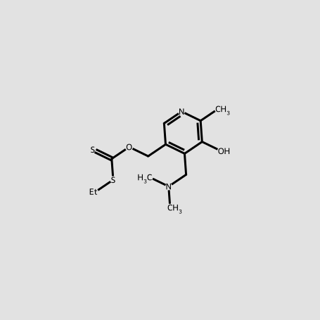 CCSC(=S)OCc1cnc(C)c(O)c1CN(C)C